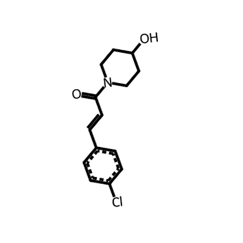 O=C(/C=C/c1ccc(Cl)cc1)N1CCC(O)CC1